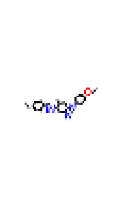 CCOc1ccc(-n2cnc3cc(NCc4ccc(CC)cc4)c(C)cc32)cc1